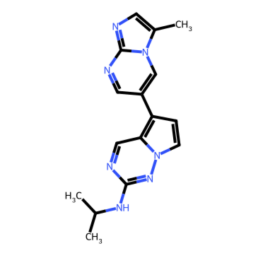 Cc1cnc2ncc(-c3ccn4nc(NC(C)C)ncc34)cn12